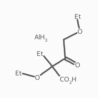 CCOCC(=O)C(CC)(OCC)C(=O)O.[AlH3]